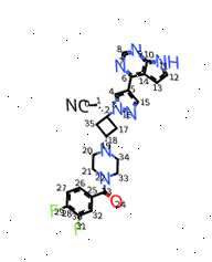 N#CC[C@]1(n2cc(-c3ncnc4[nH]ccc34)cn2)C[C@H](N2CCN(C(=O)c3ccc(F)c(F)c3)CC2)C1